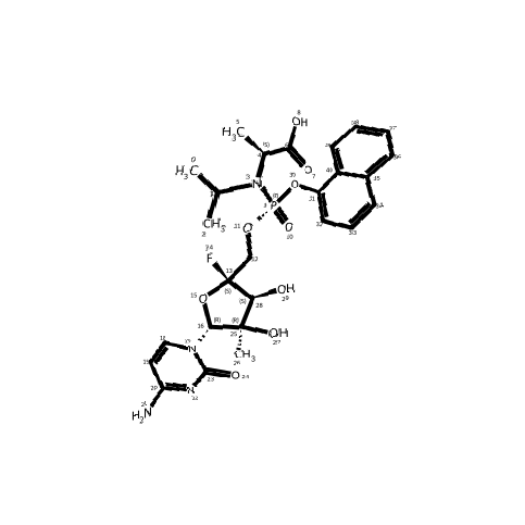 CC(C)N([C@@H](C)C(=O)O)[P@@](=O)(OC[C@@]1(F)O[C@@H](n2ccc(N)nc2=O)[C@](C)(O)[C@@H]1O)Oc1cccc2ccccc12